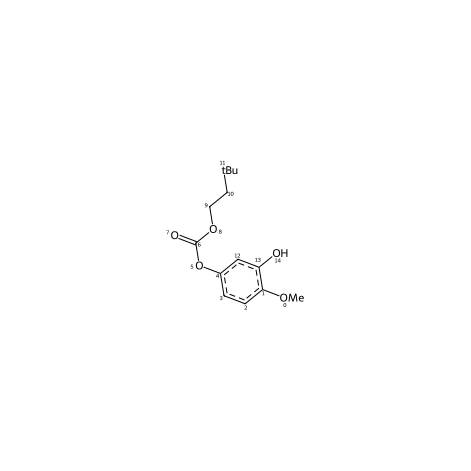 COc1ccc(OC(=O)OCCC(C)(C)C)cc1O